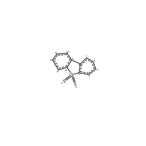 S=S1(=S)c2ccccc2-c2ccccc21